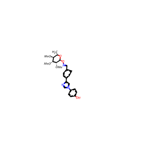 CO[C@@H]1[C@@H](OC)[C@H](C)O[C@@H](O/N=C/c2ccc(-c3cn(-c4ccc(O)cc4)cn3)cc2)[C@@H]1OC